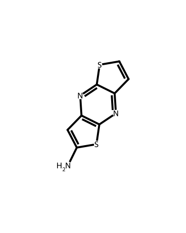 Nc1cc2nc3sccc3nc2s1